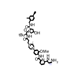 C#Cc1ccc(CNC(=O)[C@@H]2C[C@@H](O)CN2C(=O)[C@@H](NC(=O)CCN2CCN(c3ccc(NC(=O)c4cccc(C(=N)/C=C\N)n4)c(OC)c3)C[C@H]2C)C(C)(C)C)c(C)c1